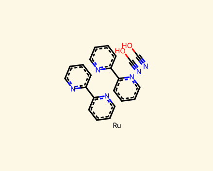 N#CO.N#CO.[Ru].c1ccc(-c2ccccn2)nc1.c1ccc(-c2ccccn2)nc1